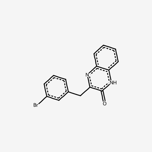 O=c1[nH]c2ccccc2nc1Cc1cccc(Br)c1